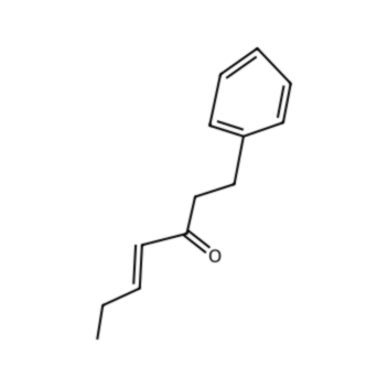 CC/C=C/C(=O)CCc1ccccc1